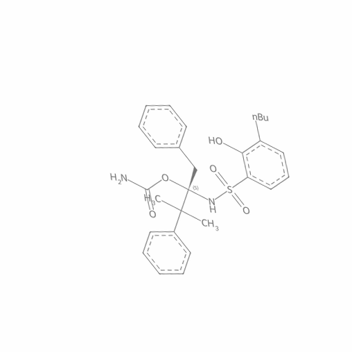 CCCCc1cccc(S(=O)(=O)N[C@@](Cc2ccccc2)(OC(N)=O)C(C)(C)c2ccccc2)c1O